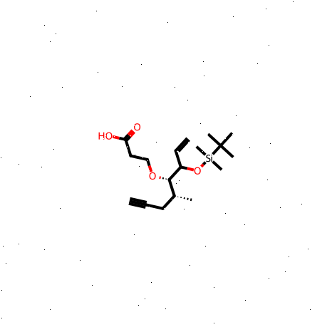 C#CC[C@@H](C)[C@H](OCCC(=O)O)C(C=C)O[Si](C)(C)C(C)(C)C